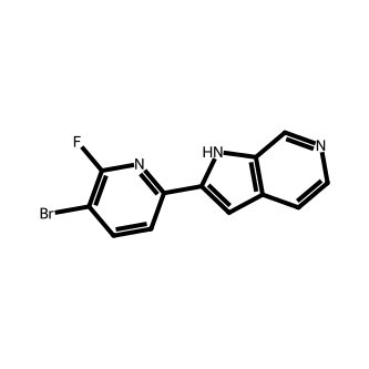 Fc1nc(-c2cc3ccncc3[nH]2)ccc1Br